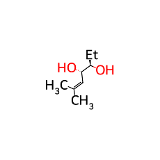 CC[C@@H](O)[C@@H](O)C=C(C)C